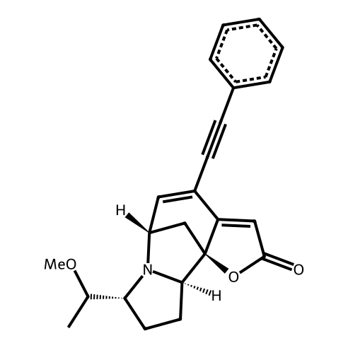 COC(C)[C@H]1CC[C@H]2N1[C@@H]1C=C(C#Cc3ccccc3)C3=CC(=O)O[C@@]32C1